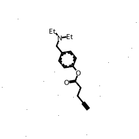 C#CCCC(=O)Oc1ccc(CN(CC)CC)cc1